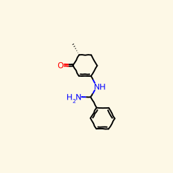 C[C@@H]1CCC(NC(N)c2ccccc2)=CC1=O